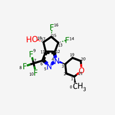 C[C@H]1C[C@@H](n2nc(C(F)(F)F)c3c2[C@@H](F)[C@@H](F)[C@H]3O)CCO1